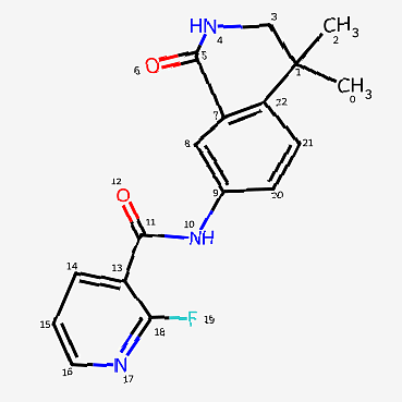 CC1(C)CNC(=O)c2cc(NC(=O)c3cccnc3F)ccc21